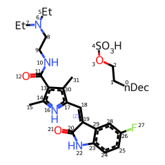 CCCCCCCCCCCCOS(=O)(=O)O.CCN(CC)CCNC(=O)c1c(C)[nH]c(/C=C2\C(=O)Nc3ccc(F)cc32)c1C